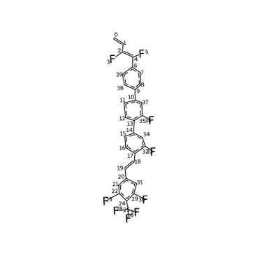 C=C/C(F)=C(\F)c1ccc(-c2ccc(-c3ccc(/C=C/c4cc(F)c(C(F)(F)F)c(F)c4)c(F)c3)c(F)c2)cc1